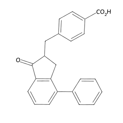 O=C(O)c1ccc(CC2Cc3c(cccc3-c3ccccc3)C2=O)cc1